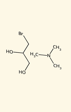 CN(C)C.OCC(O)CBr